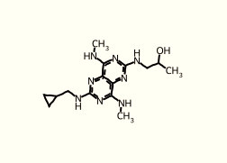 CNc1nc(NCC2CC2)nc2c(NC)nc(NCC(C)O)nc12